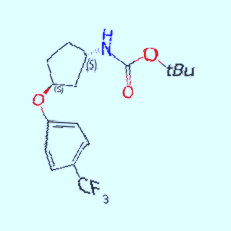 CC(C)(C)OC(=O)N[C@H]1CC[C@H](Oc2ccc(C(F)(F)F)cc2)C1